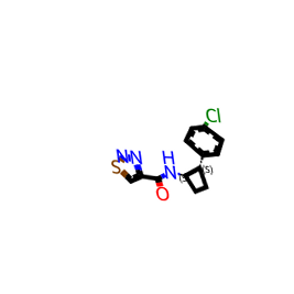 O=C(N[C@H]1CC[C@H]1c1ccc(Cl)cc1)c1csnn1